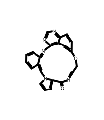 O=C1/N=C\COc2ccc3ncnc(c3c2)/N=c2/cccc/c2=C/n2cccc21